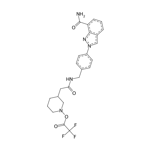 NC(=O)c1cccc2cn(-c3ccc(CNC(=O)CC4CCCN(OC(=O)C(F)(F)F)C4)cc3)nc12